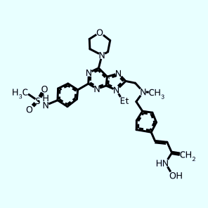 C=C(/C=C/c1ccc(CN(C)Cc2nc3c(N4CCOCC4)nc(-c4ccc(NS(C)(=O)=O)cc4)nc3n2CC)cc1)NO